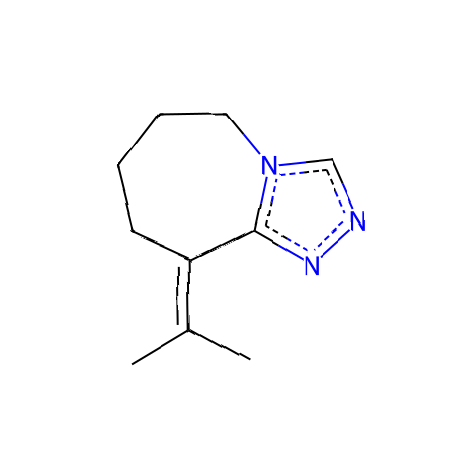 CC(C)=C1CCCCn2cnnc21